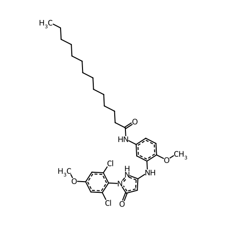 CCCCCCCCCCCCCC(=O)Nc1ccc(OC)c(Nc2cc(=O)n(-c3c(Cl)cc(OC)cc3Cl)[nH]2)c1